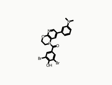 CN(C)c1cccc(-c2cnc3c(c2)N(C(=O)c2cc(Br)c(O)c(Br)c2)CCO3)c1